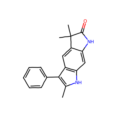 Cc1[nH]c2cc3c(cc2c1-c1ccccc1)C(C)(C)C(=O)N3